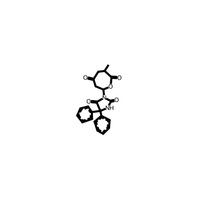 CC1CC(=O)CC(N2C(=O)NC(c3ccccc3)(c3ccccc3)C2=O)OC1=O